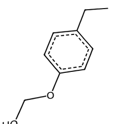 CCc1ccc(OCO)cc1